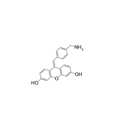 NCc1ccc(C=C2c3ccc(O)cc3Oc3cc(O)ccc32)cc1